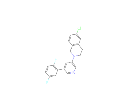 Fc1ccc(F)c(-c2cncc(N3CCc4cc(Cl)ccc4C3)c2)c1